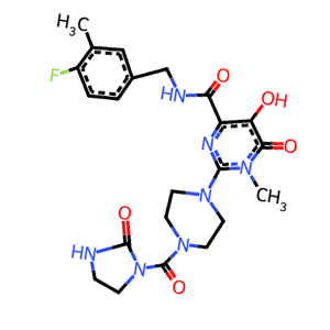 Cc1cc(CNC(=O)c2nc(N3CCN(C(=O)N4CCNC4=O)CC3)n(C)c(=O)c2O)ccc1F